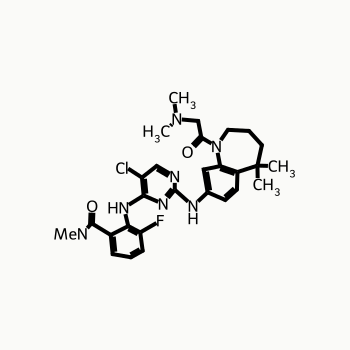 CNC(=O)c1cccc(F)c1Nc1nc(Nc2ccc3c(c2)N(C(=O)CN(C)C)CCCC3(C)C)ncc1Cl